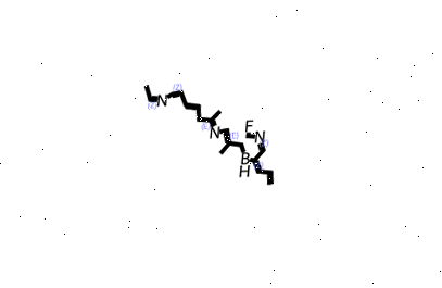 C=C/C=C(BC/C(C)=C/N=C(\C)CC=C/C=C\N=C/C)\C=N/CF